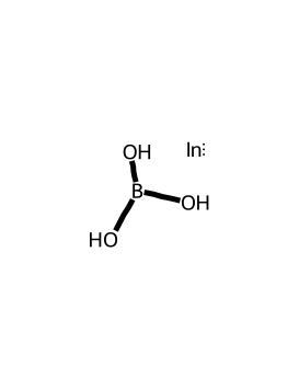 OB(O)O.[In]